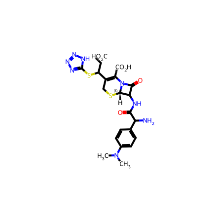 CN(C)c1ccc(C(N)C(=O)NC2C(=O)N3C(C(=O)O)=C(C(CC(=O)O)Sc4nnn[nH]4)CS[C@@H]23)cc1